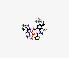 [2H]c1cc(C([2H])([2H])[2H])c([2H])c(C(C)=O)c1N([2H])C(=O)c1sccc1S(=O)(=O)N([2H])c1onc(C([2H])([2H])[2H])c1C